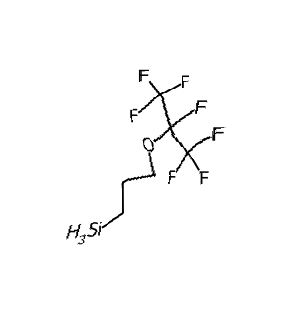 FC(F)(F)C(F)(OCCC[SiH3])C(F)(F)F